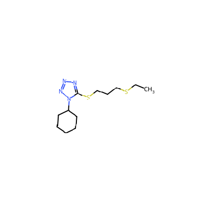 CCSCCCSc1nnnn1C1CCCCC1